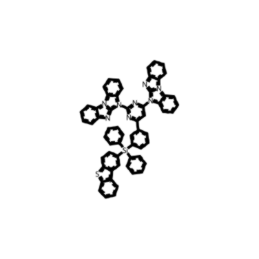 c1ccc([Si](c2ccccc2)(c2cccc(-c3cc(-n4c5ccccc5n5c6ccccc6nc45)nc(-n4c5ccccc5n5c6ccccc6nc45)n3)c2)c2ccc3sc4ccccc4c3c2)cc1